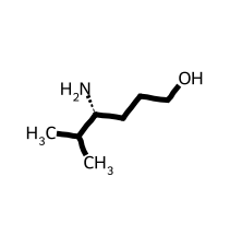 CC(C)[C@H](N)CCCO